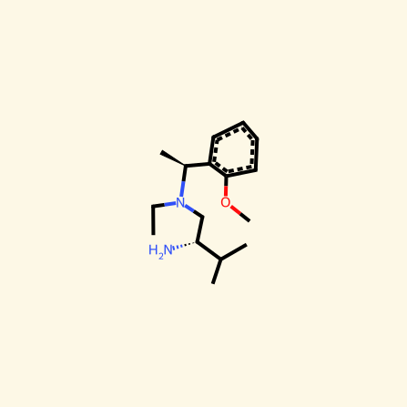 CCN(C[C@@H](N)C(C)C)[C@@H](C)c1ccccc1OC